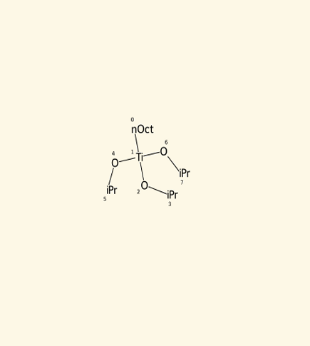 CCCCCCC[CH2][Ti]([O]C(C)C)([O]C(C)C)[O]C(C)C